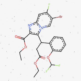 CCOC(=O)CC(c1ccccc1OC(F)F)c1c(C(=O)OCC)nc2cc(F)c(Br)cn12